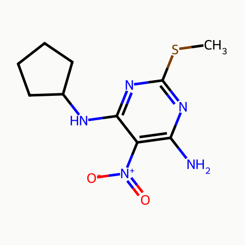 CSc1nc(N)c([N+](=O)[O-])c(NC2CCCC2)n1